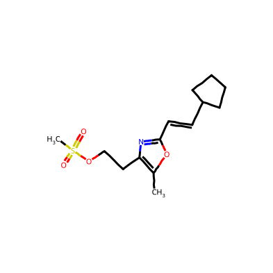 Cc1oc(C=CC2CCCC2)nc1CCOS(C)(=O)=O